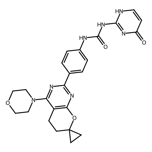 O=C(Nc1ccc(-c2nc3c(c(N4CCOCC4)n2)CCC2(CC2)O3)cc1)Nc1nc(=O)cc[nH]1